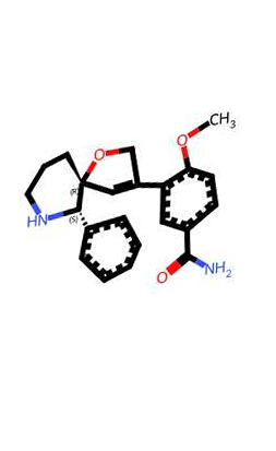 COc1ccc(C(N)=O)cc1C1=C[C@@]2(CCCN[C@H]2c2ccccc2)OC1